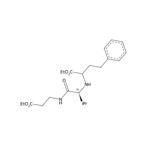 CCOC(=O)CCNC(=O)[C@@H](NC(CCc1ccccc1)C(=O)OCC)C(C)C